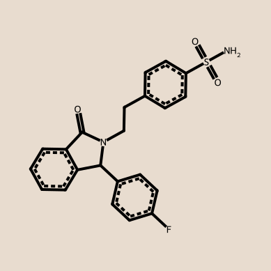 NS(=O)(=O)c1ccc(CCN2C(=O)c3ccccc3C2c2ccc(F)cc2)cc1